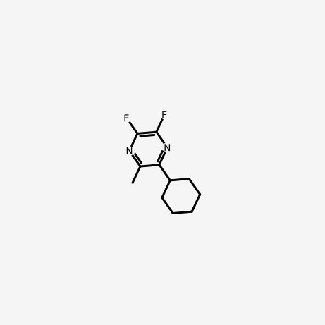 Cc1nc(F)c(F)nc1C1CCCCC1